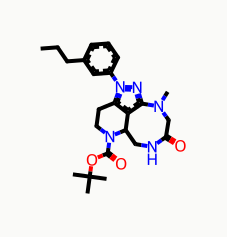 CCCc1cccc(-n2nc3c4c2CCN(C(=O)OC(C)(C)C)C4CNC(=O)CN3C)c1